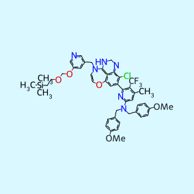 COc1ccc(CN(Cc2ccc(OC)cc2)c2cc(C)c(C(F)(F)F)c(-c3cc4c5c(c3Cl)=NCNC=5N(Cc3cncc(OCOCC[Si](C)(C)C)c3)C=CO4)n2)cc1